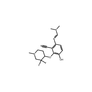 CN(C)/C=N/c1ccc(O)c(OC2CCN(C)CC2(F)F)c1C#N